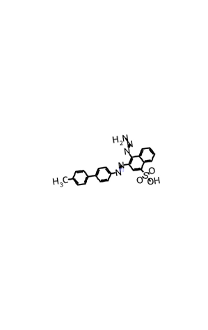 Cc1ccc(-c2ccc(/N=N/c3cc(S(=O)(=O)O)c4ccccc4c3N=NN)cc2)cc1